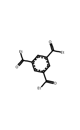 CCC(=O)c1cc(C(=O)CC)cc(C(=O)CC)c1